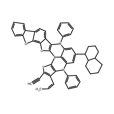 C#Cc1sc2c(c1/C=C\C)N(c1ccccc1)c1cc(C3CCCC4CCCCC43)cc3c1B2c1oc2c(ccc4c5ccccc5oc42)c1N3c1ccccc1